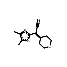 Cc1nc(C(C#N)=C2CCOCC2)sc1C